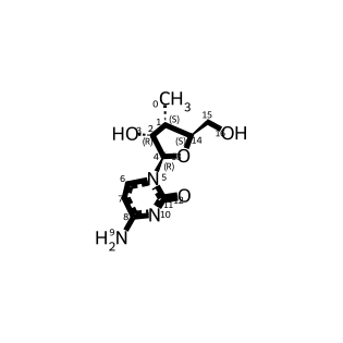 C[C@H]1[C@@H](O)[C@H](n2ccc(N)nc2=O)O[C@@H]1CO